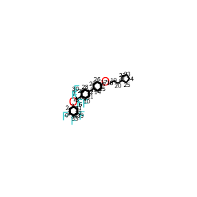 Fc1cc(OC(F)(F)c2c(F)cc(-c3ccc(OCCCC4CCCC4)cc3)cc2F)cc(F)c1F